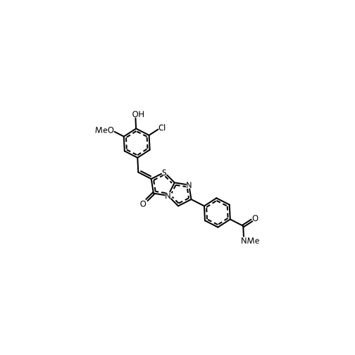 CNC(=O)c1ccc(-c2cn3c(=O)/c(=C/c4cc(Cl)c(O)c(OC)c4)sc3n2)cc1